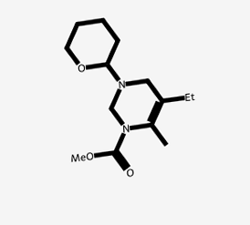 CCC1=C(C)N(C(=O)OC)CN(C2CCCCO2)C1